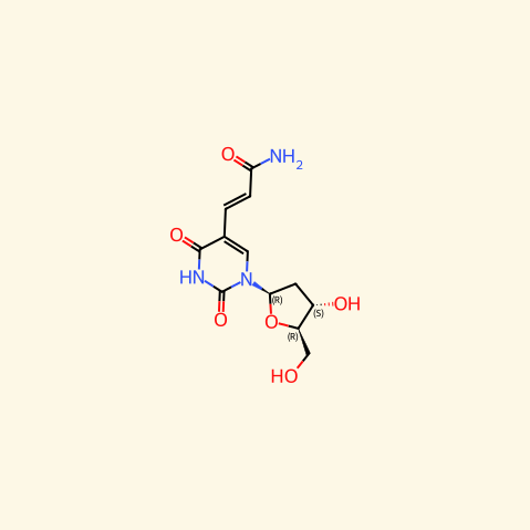 NC(=O)C=Cc1cn([C@H]2C[C@H](O)[C@@H](CO)O2)c(=O)[nH]c1=O